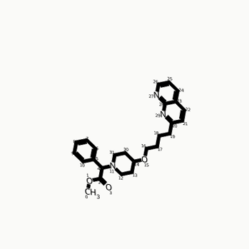 COC(=O)C(c1ccccc1)N1CCC(OCCCCc2ccc3cccnc3n2)CC1